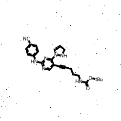 CC(C)(C)OC(=O)NCCCC#Cc1cnc(Nc2ccc(C#N)cc2)nc1N1C=CCN1